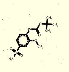 COc1cc(S(C)(=O)=O)ccc1NC(=O)OC(C)(C)C